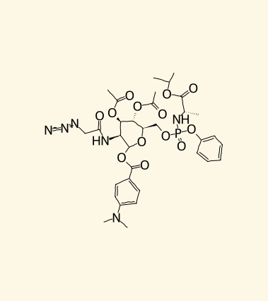 CC(=O)O[C@H]1[C@H](OC(C)=O)[C@@H](COP(=O)(N[C@@H](C)C(=O)OC(C)C)Oc2ccccc2)OC(OC(=O)c2ccc(N(C)C)cc2)[C@H]1NC(=O)CN=[N+]=[N-]